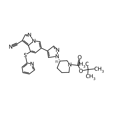 CC(C)(C)OC(=O)N1CCC[C@H](n2cc(-c3cc(Sc4ccccn4)c4c(C#N)cnn4c3)cn2)C1